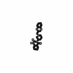 O=c1[nH]c2ccccc2c(=O)n1C1CCCN(CC2COc3ccccc3O2)C1